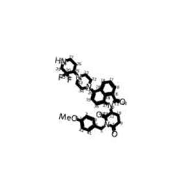 COc1ccc(CN2C(=O)CCC(N3C(=O)c4cccc5c(N6CCN(C7CCNCC7(F)F)CC6)ccc3c45)C2=O)cc1